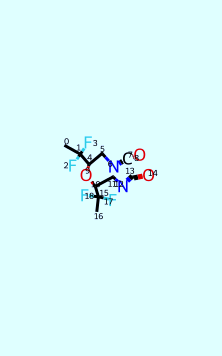 CC(F)(F)C(CN=C=O)OC(CN=C=O)C(C)(F)F